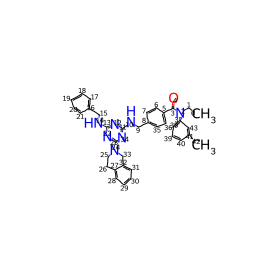 CCN(C(=O)c1ccc(CNc2nc(NCc3ccccc3)nc(N3CCc4ccccc4C3)n2)cc1)c1cccc(C)c1